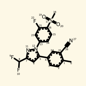 Cc1ccc(-c2cc(C(F)F)nn2-c2ccc(S(C)(=O)=O)c(F)c2)cc1C#N